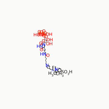 CC[N+]1=C(/C=C/C=C2C=CN(CCCCCC(=O)NC/C=C/c3cn(C4OC(COP(=O)(O)OP(=O)(O)OP(=O)(O)O)C(O)C4O)c(=O)[nH]c3=O)C=C2)C(C)(C)c2cc(S(=O)(=O)O)ccc21